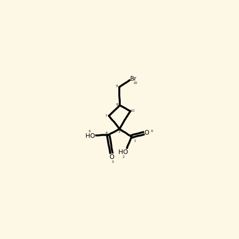 O=C(O)C1(C(=O)O)CC(CBr)C1